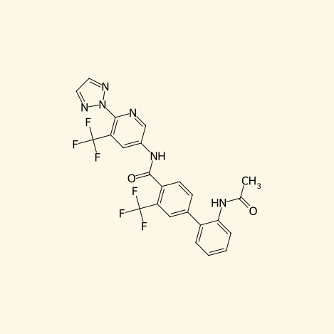 CC(=O)Nc1ccccc1-c1ccc(C(=O)Nc2cnc(-n3nccn3)c(C(F)(F)F)c2)c(C(F)(F)F)c1